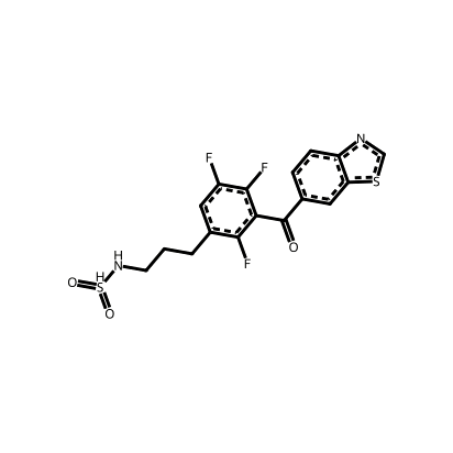 O=C(c1ccc2ncsc2c1)c1c(F)c(F)cc(CCCN[SH](=O)=O)c1F